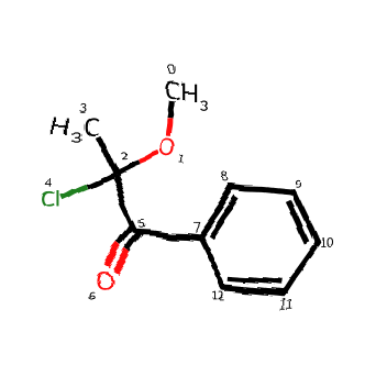 COC(C)(Cl)C(=O)c1ccccc1